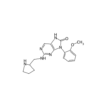 COc1ccccc1-n1c(=O)[nH]c2cnc(NCC3CCCN3)nc21